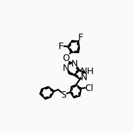 Fc1ccc(Oc2ncc3c(-c4cc(SCc5ccccc5)ccc4Cl)n[nH]c3n2)c(F)c1